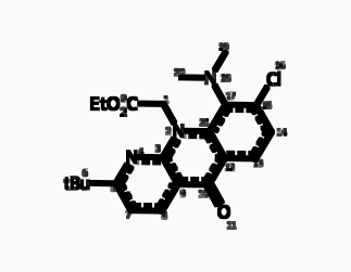 CCOC(=O)Cn1c2nc(C(C)(C)C)ccc2c(=O)c2ccc(Cl)c(N(C)C)c21